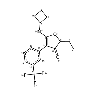 CCC1OC(NC2CCC2)=C(c2cccc(C(F)(F)F)c2)C1=O